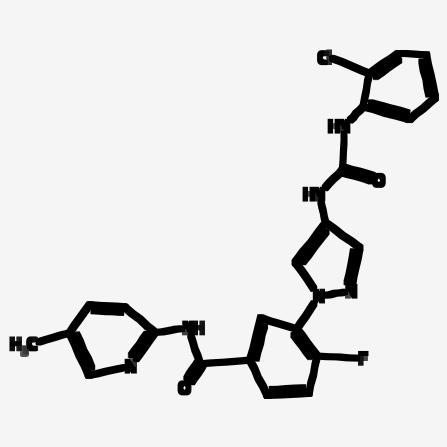 Cc1ccc(NC(=O)c2ccc(F)c(-n3cc(NC(=O)Nc4ccccc4Cl)cn3)c2)nc1